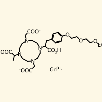 CCOCCOCCOc1ccc(CC(C(=O)O)N2CCN(CC(=O)[O-])CCN(C(C)C(=O)[O-])CCN(CC(=O)[O-])CC2)cc1.[Gd+3]